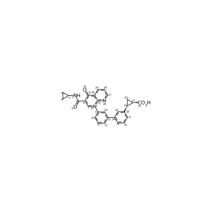 O=C(NC1CC1)c1cn(-c2cccc(-c3cccc([C@H]4C[C@H]4C(=O)O)c3)c2)c2ncccc2c1=O